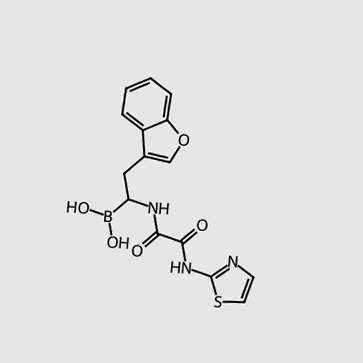 O=C(Nc1nccs1)C(=O)NC(Cc1coc2ccccc12)B(O)O